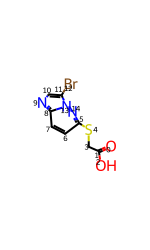 O=C(O)CSc1ccc2ncc(Br)n2n1